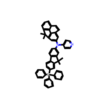 CC1(C)c2cc(N(c3ccncc3)c3cc4c5c(ccc6cccc(c65)C4(C)C)c3)ccc2-c2ccc([Si](c3ccccc3)(c3ccccc3)c3ccccc3)cc21